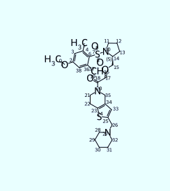 COc1cc(C)c(S(=O)(=O)N2CCC[C@H]2COCC(=O)N2CCc3sc(CN4CCCCC4)cc3C2)c(C)c1